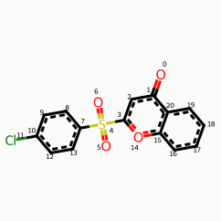 O=c1cc(S(=O)(=O)c2ccc(Cl)cc2)oc2ccccc12